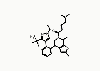 CCn1cc(-c2ccccc2C2CN(C(=O)/C=C/CN(C)C)C(C)c3sc(C)cc32)c(C(C)(F)P)n1